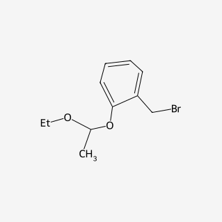 CCOC(C)Oc1ccccc1CBr